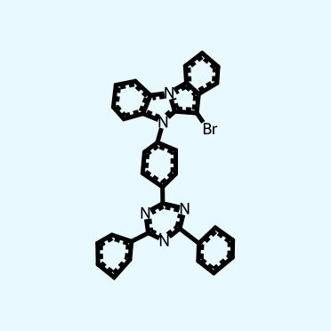 Brc1c2ccccc2n2c3ccccc3n(-c3ccc(-c4nc(-c5ccccc5)nc(-c5ccccc5)n4)cc3)c12